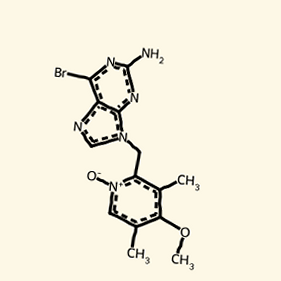 COc1c(C)c[n+]([O-])c(Cn2cnc3c(Br)nc(N)nc32)c1C